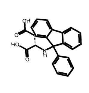 O=C(O)C[C@H](NC1(c2ccccc2)c2ccccc2-c2ccccc21)C(=O)O